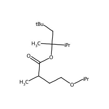 CC(C)OCCC(C)C(=O)OC(C)(CC(C)(C)C)C(C)C